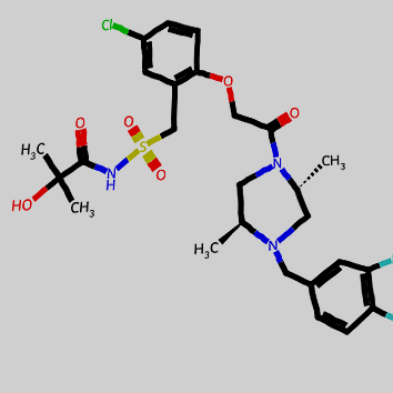 C[C@@H]1CN(Cc2ccc(F)c(F)c2)[C@@H](C)CN1C(=O)COc1ccc(Cl)cc1CS(=O)(=O)NC(=O)C(C)(C)O